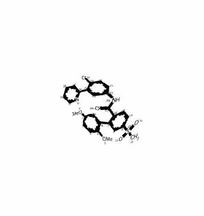 COc1ccc(OC)c(-c2cc(S(C)(=O)=O)ccc2C(=O)Nc2ccc(Cl)c(-c3ccccn3)c2)c1